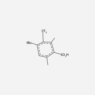 Cc1cc(C(C)(C)C)c(C(F)(F)F)c(C)c1S(=O)(=O)O